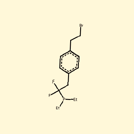 CCP(CC)C(F)(F)Cc1ccc(CCBr)cc1